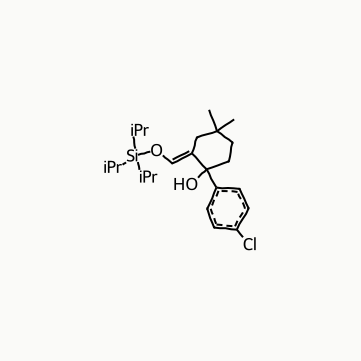 CC(C)[Si](OC=C1CC(C)(C)CCC1(O)c1ccc(Cl)cc1)(C(C)C)C(C)C